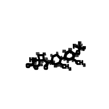 Cc1cc(C2CCN(C(=O)C3CC[C@]34COC(=O)N4)C[C@@H]2C)ccc1OC(F)(F)F